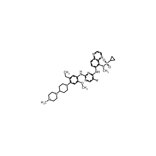 CCc1cc(Nc2ncc(F)c(Nc3ccc4nccnc4c3N(C)S(=O)(=O)C3CC3)n2)c(OC)cc1N1CCC(N2CCN(C)CC2)CC1